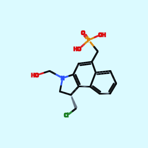 O=P(O)(O)Cc1cc2c(c3ccccc13)[C@H](CCl)CN2CO